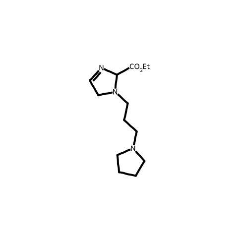 CCOC(=O)C1N=CCN1CCCN1CCCC1